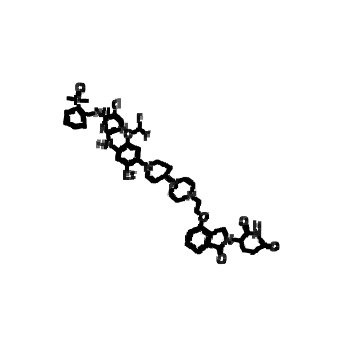 CCc1cc(Nc2ncc(Cl)c(Nc3ccccc3P(C)(C)=O)n2)c(OC(F)F)cc1N1CCC(N2CCN(CCOc3cccc4c3CN(C3CCC(=O)NC3=O)C4=O)CC2)CC1